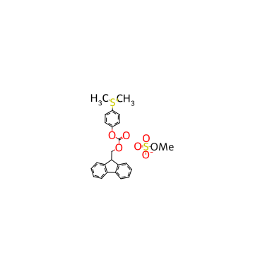 COS(=O)(=O)[O-].C[S+](C)c1ccc(OC(=O)OCC2c3ccccc3-c3ccccc32)cc1